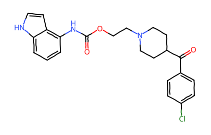 O=C(Nc1cccc2[nH]ccc12)OCCN1CCC(C(=O)c2ccc(Cl)cc2)CC1